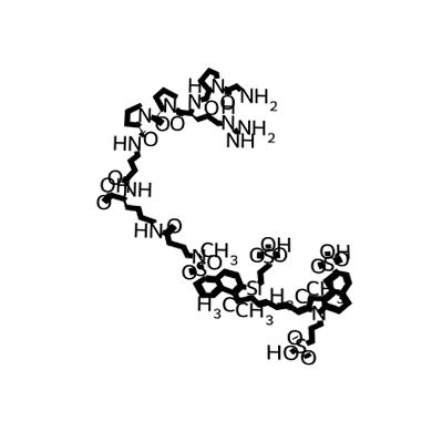 CN(CCCC(=O)NCCCC[C@H](NC(=O)CCCNC(=O)[C@@H]1CCCN1C(=O)[C@@H]1CCCN1C(=O)[C@H](CCCNC(=N)N)NC(=O)C1CCCN1C(=O)CN)C(=O)O)S(=O)(=O)c1cccc2c3c(ccc12)[Si](CCCS(=O)(=O)O)=C(/C=C/C=C/C=C1/N(CCCS(=O)(=O)O)c2ccc4ccc(S(=O)(=O)O)cc4c2C1(C)C)C3(C)C